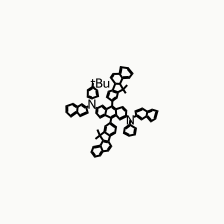 CC(C)(C)c1ccc(N(c2ccc3ccccc3c2)c2ccc3c(-c4ccc5c(c4)C(C)(C)c4c-5ccc5ccccc45)c4cc(N(c5ccccc5)c5ccc6ccccc6c5)ccc4c(-c4ccc5c(c4)C(C)(C)C4c6ccccc6C=CC54)c3c2)cc1